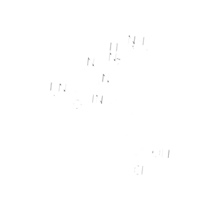 NC(=O)c1cnc(N[C@@H]2CCCC[C@@H]2N)nc1Nc1cccc(-c2ccc(Cl)c(O)c2)c1